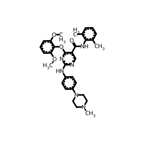 COc1cccc(OC)c1Oc1nc(Nc2ccc(N3CCN(C)CC3)cc2)ncc1C(=O)Nc1c(C)cccc1C